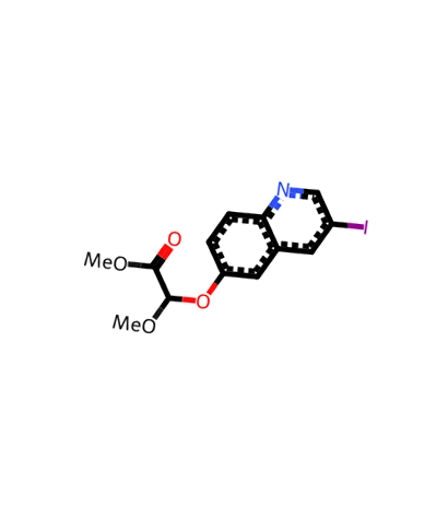 COC(=O)C(OC)Oc1ccc2ncc(I)cc2c1